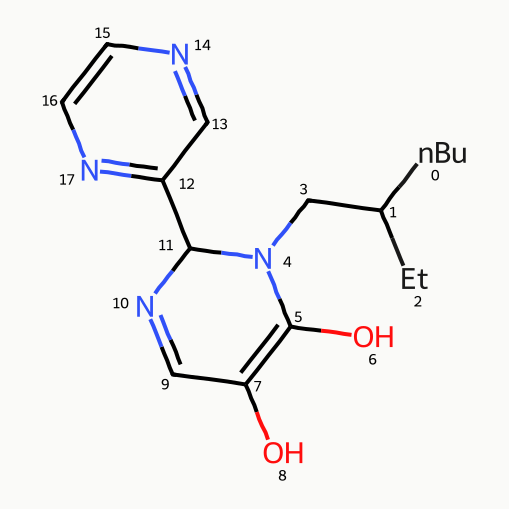 CCCCC(CC)CN1C(O)=C(O)C=NC1c1cnccn1